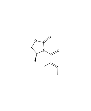 C/C=C(\C)C(=O)N1C(=O)OC[C@@H]1C